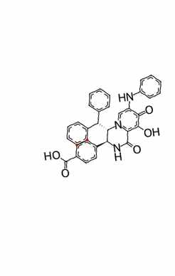 O=C(O)c1ccc([C@@H]2NC(=O)c3c(O)c(=O)c(Nc4ccccc4)cn3[C@H]2C(c2ccccc2)c2ccccc2)cc1